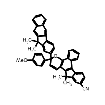 COc1ccc(C2(c3ccc4c(c3)C(C)(C)c3cc5ccccc5cc3-4)C=Cc3c4c(c5ccccc5c3O2)-c2ccc(C#N)cc2C4(C)C)cc1